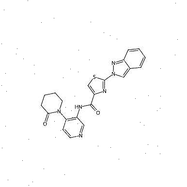 O=C(Nc1cnccc1N1CCCCC1=O)c1csc(-n2cc3ccccc3n2)n1